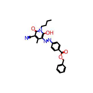 CCCCn1c(O)c(/N=N/c2ccc(C(=O)OCc3ccccc3)cc2)c(C)c(C#N)c1=O